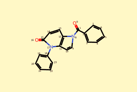 O=C(c1ccccc1)n1ccc2c1ccc(=O)n2-c1ccccc1